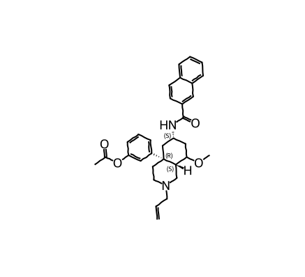 C=CCN1CC[C@@]2(c3cccc(OC(C)=O)c3)C[C@H](NC(=O)c3ccc4ccccc4c3)CC(OC)[C@@H]2C1